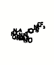 COc1ncnc(C2CC2)c1-c1ncc2c(n1)N(Cc1ccc(-c3nc(C(F)(F)F)cn3C)cc1)CC(=O)N2C